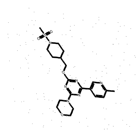 Cc1ccc(-c2nc(OCC3CCN(S(C)(=O)=O)CC3)nc(N3CCOCC3)n2)cn1